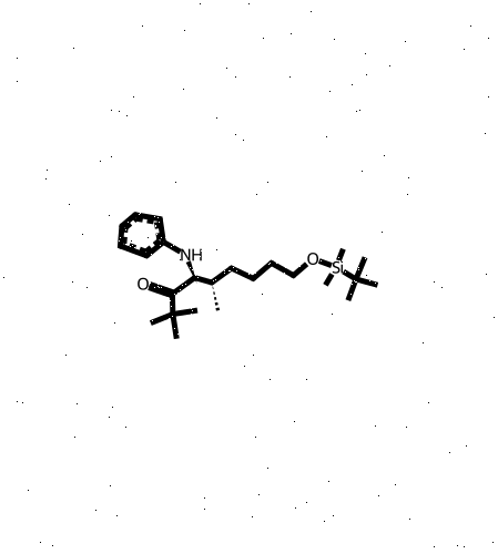 C[C@@H](CCCCO[Si](C)(C)C(C)(C)C)[C@H](Nc1ccccc1)C(=O)C(C)(C)C